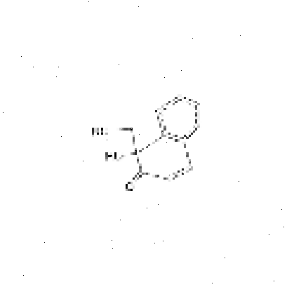 N#CCC1(O)C(=O)C=Cc2ccccc21